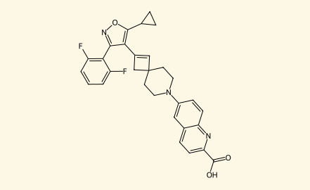 O=C(O)c1ccc2cc(N3CCC4(C=C(c5c(-c6c(F)cccc6F)noc5C5CC5)C4)CC3)ccc2n1